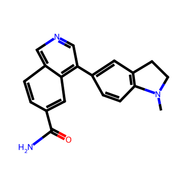 CN1CCc2cc(-c3cncc4ccc(C(N)=O)cc34)ccc21